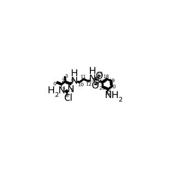 C=C/C(C)=C(\N=C(/N)Cl)NCCCNS(=O)(=O)c1cccc(N)c1